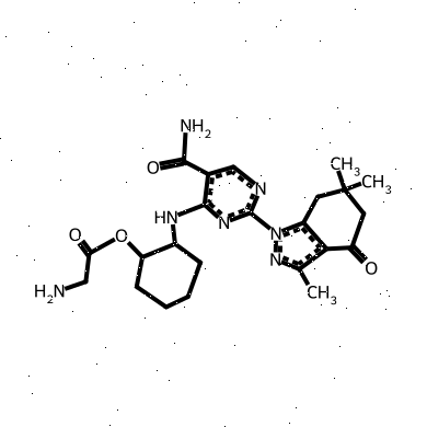 Cc1nn(-c2ncc(C(N)=O)c(NC3CCCCC3OC(=O)CN)n2)c2c1C(=O)CC(C)(C)C2